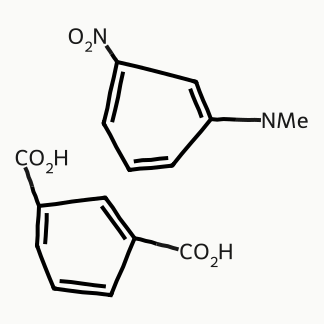 CNc1cccc([N+](=O)[O-])c1.O=C(O)c1cccc(C(=O)O)c1